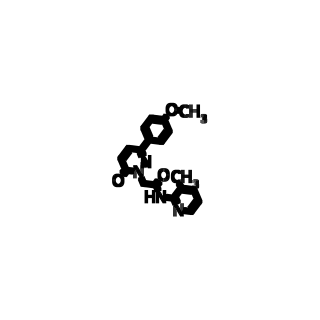 COc1ccc(-c2ccc(=O)n(CC(=O)Nc3ncccc3C)n2)cc1